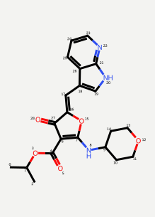 CC(C)OC(=O)C1=C(NC2CCOCC2)O/C(=C\c2c[nH]c3ncccc23)C1=O